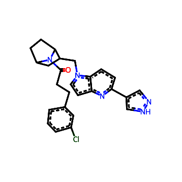 O=C(CCc1cccc(Cl)c1)N1C2CCC1C(Cn1ccc3nc(-c4cn[nH]c4)ccc31)C2